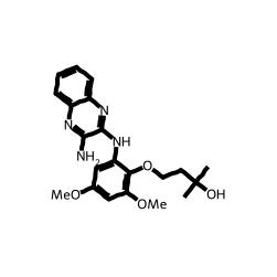 COc1cc(Nc2nc3ccccc3nc2N)c(OCCC(C)(C)O)c(OC)c1